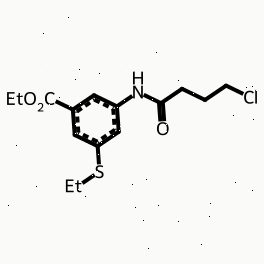 CCOC(=O)c1cc(NC(=O)CCCCl)cc(SCC)c1